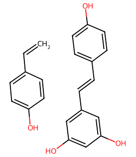 C=Cc1ccc(O)cc1.Oc1ccc(C=Cc2cc(O)cc(O)c2)cc1